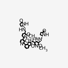 COc1nc(-c2ccnc(-c3cccc4c3CC[C@H]4Oc3nc(OC)c(CNC[C@@H]4CCC(=O)N4)cc3C(F)(F)F)c2Cl)ccc1CNC[C@H]1CCC(=O)N1